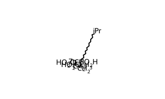 C=C(C)C(=O)O.C=C(C)C(=O)O.CC(C)CCCCCCCCCCCCCCC(=O)O.[Zn]